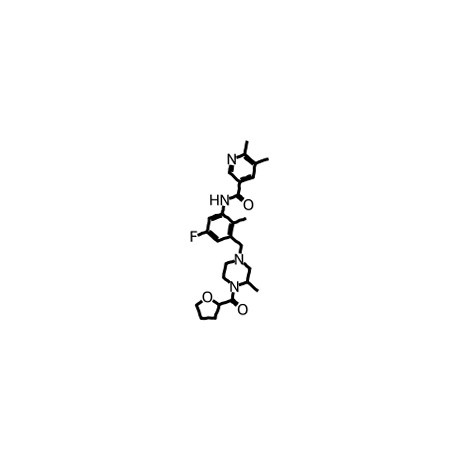 Cc1cc(C(=O)Nc2cc(F)cc(CN3CCN(C(=O)C4CCCO4)C(C)C3)c2C)cnc1C